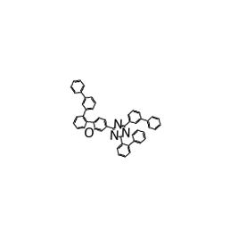 c1ccc(-c2cccc(-c3nc(-c4ccc5c(c4)oc4cccc(-c6cccc(-c7ccccc7)c6)c45)nc(-c4ccccc4-c4ccccc4)n3)c2)cc1